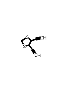 C#CC1SCSC1C#C